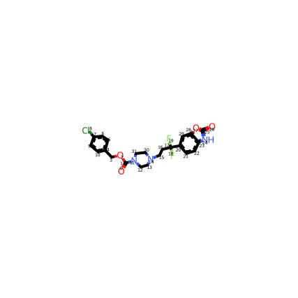 O=C(OCc1ccc(Cl)cc1)N1CCN(CCC(F)(F)c2ccc3[nH]c(=O)oc3c2)CC1